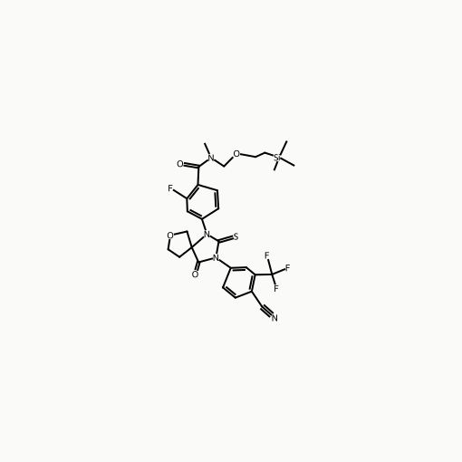 CN(COCC[Si](C)(C)C)C(=O)c1ccc(N2C(=S)N(c3ccc(C#N)c(C(F)(F)F)c3)C(=O)C23CCOC3)cc1F